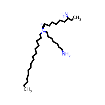 CCCCCCCCCCCCCCCCN(/C=C\CCCCCC(N)CC)CCCCCCCN